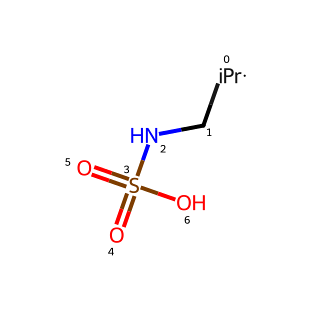 C[C](C)CNS(=O)(=O)O